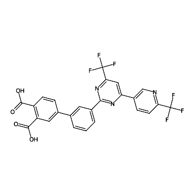 O=C(O)c1ccc(-c2cccc(-c3nc(-c4ccc(C(F)(F)F)nc4)cc(C(F)(F)F)n3)c2)cc1C(=O)O